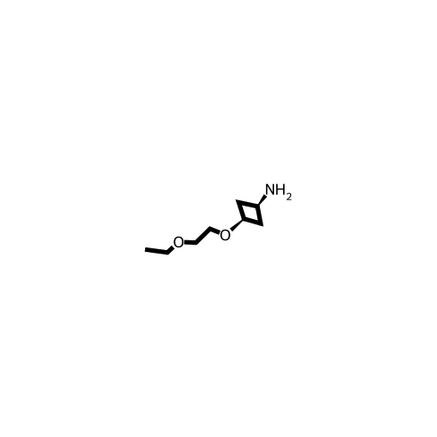 CCOCCO[C@H]1C[C@@H](N)C1